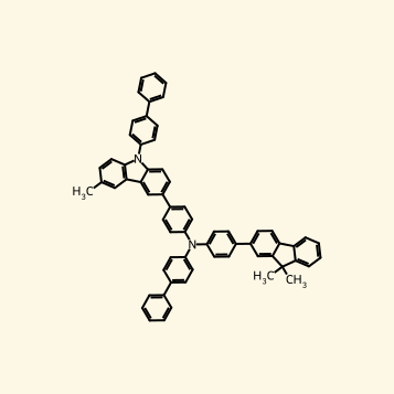 Cc1ccc2c(c1)c1cc(-c3ccc(N(c4ccc(-c5ccccc5)cc4)c4ccc(-c5ccc6c(c5)C(C)(C)c5ccccc5-6)cc4)cc3)ccc1n2-c1ccc(-c2ccccc2)cc1